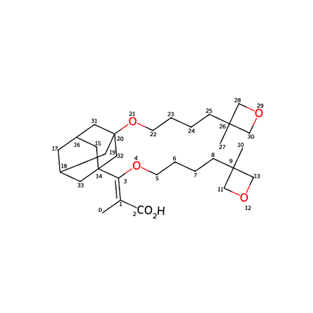 CC(C(=O)O)=C(OCCCCC1(C)COC1)C12CC3CC(CC(OCCCCC4(C)COC4)(C3)C1)C2